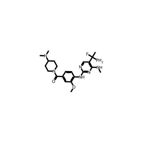 CNc1nc(Nc2ccc(C(=O)N3CCC(N(C)C)CC3)cc2OC)ncc1C(C)(F)P